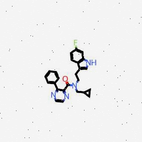 O=C(c1nccnc1-c1ccccc1)N(CCc1c[nH]c2cc(F)ccc12)CC1CC1